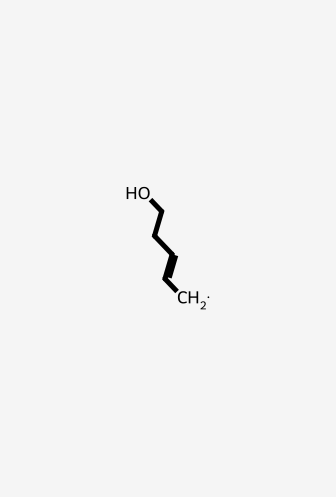 [CH2]C=CCCO